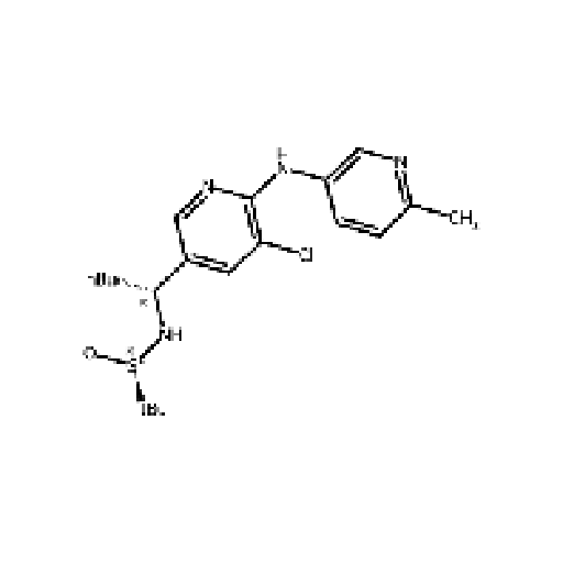 CCCC[C@@H](N[S@+]([O-])C(C)(C)C)c1cnc(Nc2ccc(C)nc2)c(Cl)c1